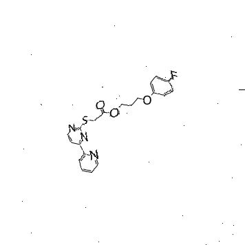 O=C(CSc1nccc(-c2ccccn2)n1)OCCCOc1ccc(F)cc1